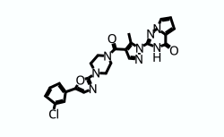 Cc1c(C(=O)N2CCN(c3ncc(-c4cccc(Cl)c4)o3)CC2)cnn1-c1nn2cccc2c(=O)[nH]1